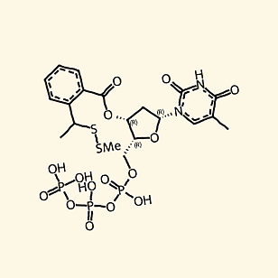 CSSC(C)c1ccccc1C(=O)O[C@@H]1C[C@H](n2cc(C)c(=O)[nH]c2=O)O[C@@H]1COP(=O)(O)OP(=O)(O)OP(=O)(O)O